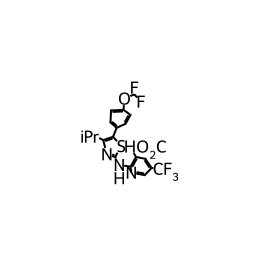 CC(C)c1nc(Nc2ncc(C(F)(F)F)cc2C(=O)O)sc1-c1ccc(OC(F)F)cc1